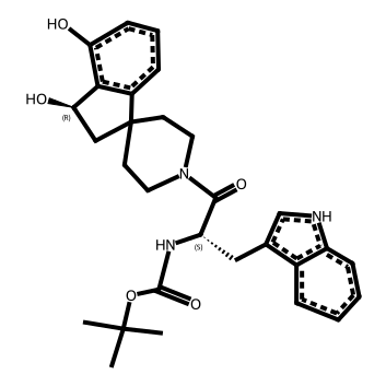 CC(C)(C)OC(=O)N[C@@H](Cc1c[nH]c2ccccc12)C(=O)N1CCC2(CC1)C[C@@H](O)c1c(O)cccc12